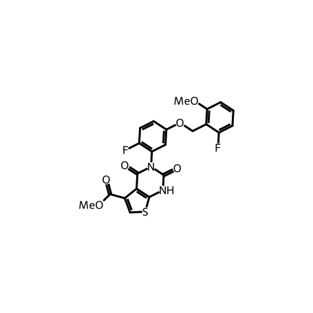 COC(=O)c1csc2[nH]c(=O)n(-c3cc(OCc4c(F)cccc4OC)ccc3F)c(=O)c12